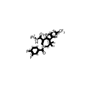 CC(C)NC(=O)C1=CN(C(=O)c2ccc(F)c(F)c2)CC(C)(C)c2c1[nH]c1sc(C(F)(F)F)nc21